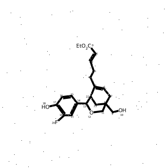 CCOC(=O)/C=C/CCC1=CCC2(CO)COC(c3ccc(O)c(F)c3)C1C2